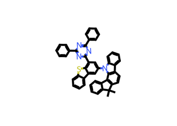 CC1(C)c2ccccc2-c2c1ccc1c3ccccc3n(-c3cc(-c4nc(-c5ccccc5)nc(-c5ccccc5)n4)c4sc5ccccc5c4c3)c21